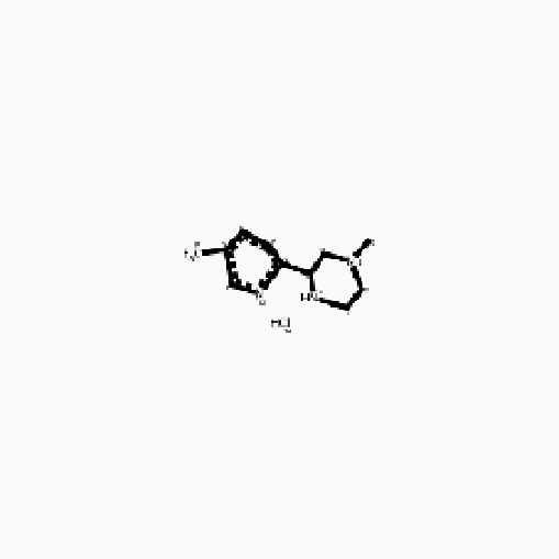 CN1CCNC(c2ccc(C(F)(F)F)cn2)C1.Cl